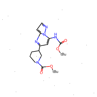 CC(C)(C)OC(=O)Nc1cc(C2CCCN(C(=O)OC(C)(C)C)C2)nc2ccnn12